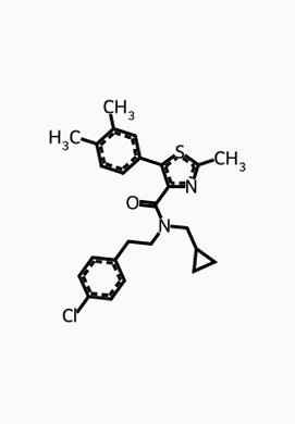 Cc1nc(C(=O)N(CCc2ccc(Cl)cc2)CC2CC2)c(-c2ccc(C)c(C)c2)s1